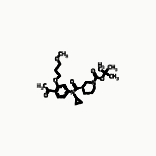 COCCCOc1cc(N(C(=O)[C@@H]2CCCN(C(=O)OC(C)(C)C)C2)C2CC2)ccc1C(C)=O